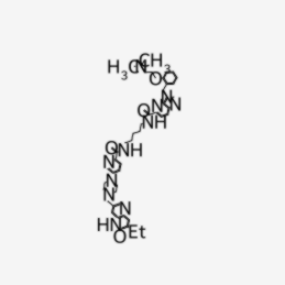 CCc1cc2ncc(CN3CCN(c4ccc(C(=O)NCCCCCNC(=O)c5ccc6ncn(Cc7ccccc7OCCN(C)C)c6n5)nc4)CC3)cc2[nH]c1=O